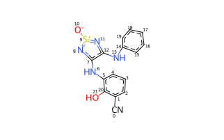 N#Cc1cccc(Nc2n[s+]([O-])nc2Nc2ccccc2)c1O